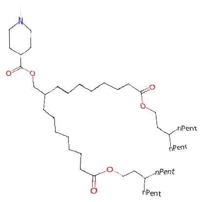 CCCCCC(CCCCC)CCOC(=O)CCCCCCCC(CCCCCCCC(=O)OCCC(CCCCC)CCCCC)COC(=O)C1CCN(C)CC1